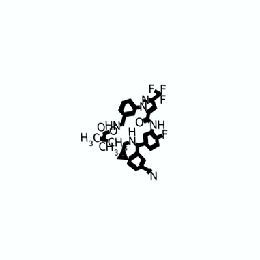 CC(C)(C)C(=O)ONCc1cccc(-n2nc(C(F)(F)F)cc2C(=O)Nc2cc(C(NCC3CC3)c3cccc(C#N)c3)ccc2F)c1